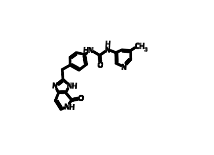 Cc1cncc(NC(=O)Nc2ccc(Cc3nc4cc[nH]c(=O)c4[nH]3)cc2)c1